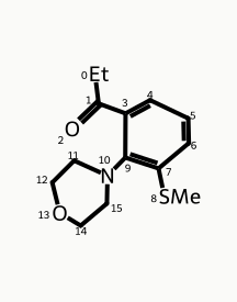 CCC(=O)c1cccc(SC)c1N1CCOCC1